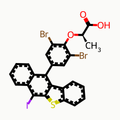 C[C@@H](Oc1c(Br)cc(-c2c3ccccc3c(I)c3sc4ccccc4c23)cc1Br)C(=O)O